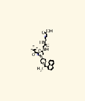 CC(c1cccc2ccccc12)N1CCC(N(/C=C/C(=O)C(F)(F)F)CC(=O)NCC(=O)NC/C=C/C(=O)O)CC1